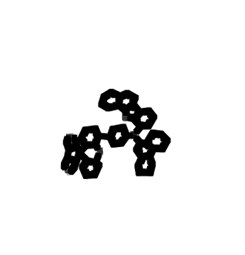 c1ccc2c(c1)Sc1c(-c3ccc(N(c4cc5ccccc5c5ccccc45)c4cccc5c4oc4c6ccccc6ccc54)cc3)cccc1C21c2ccccc2-c2ccccc21